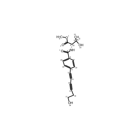 COC(=O)[C@@H](NC(=O)c1ccc(C#CC#CCCO)cc1)[C@@H](C)O